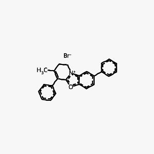 CC1=C(c2ccccc2)c2oc3ccc(-c4ccccc4)cc3[n+]2CC1.[Br-]